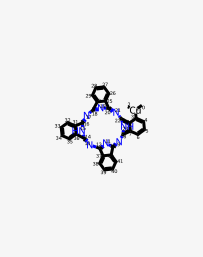 [CH3][Cu]([CH3])[c]1cccc2c3nc4nc(nc5[nH]c(nc6nc(nc([nH]3)c12)-c1ccccc1-6)c1ccccc51)-c1ccccc1-4